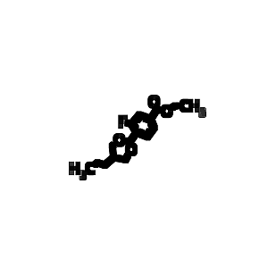 CCCC1COC(c2ccc(C(=O)OCC)cc2F)OC1